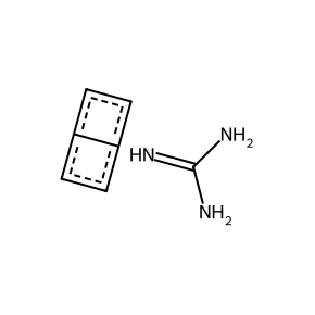 N=C(N)N.c1cc2ccc1-2